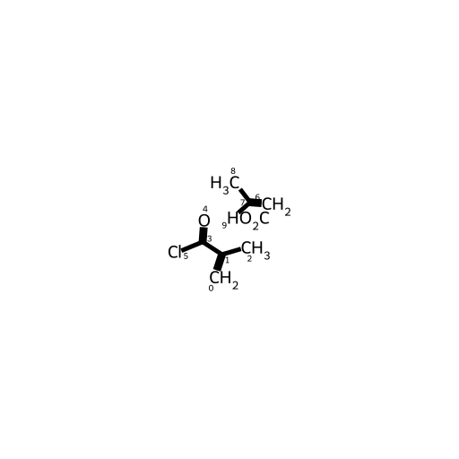 C=C(C)C(=O)Cl.C=C(C)C(=O)O